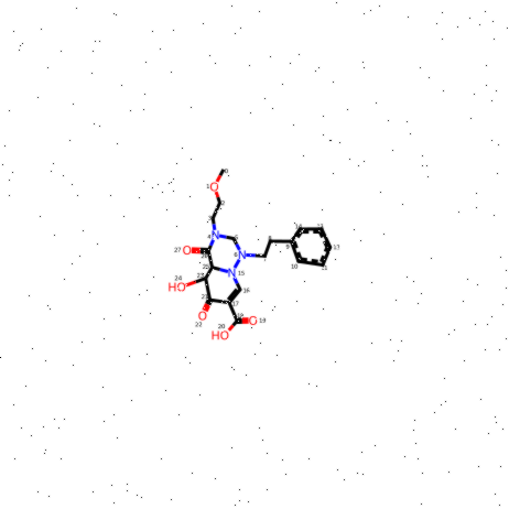 COCCN1CN(CCc2ccccc2)N2C=C(C(=O)O)C(=O)C(O)C2C1=O